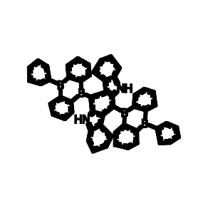 c1ccc(B2c3ccccc3B(c3c4[nH]c5ccccc5c4c(B4c5ccccc5B(c5ccccc5)c5ccccc54)c4[nH]c5ccccc5c34)c3ccccc32)cc1